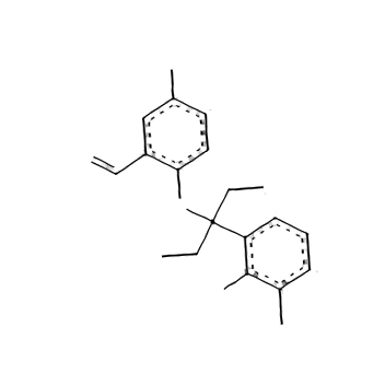 CCC(CC)(Pc1ccc(F)cc1C=O)c1cccc(C)c1O